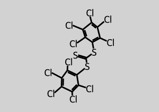 S=C(Sc1c(Cl)c(Cl)c(Cl)c(Cl)c1Cl)Sc1c(Cl)c(Cl)c(Cl)c(Cl)c1Cl